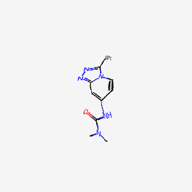 CC(C)c1nnc2cc(NC(=O)N(C)C)ccn12